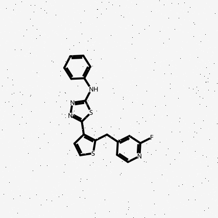 Fc1cc(Cc2sccc2-c2nnc(Nc3ccccc3)s2)ccn1